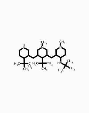 CN1CCC(NC(C)(C)C)C(CC2CN(C)CC(CC3CNCCC3C(C)(C)C)C2C(C)(C)C)C1